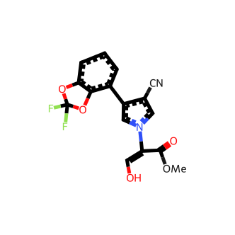 COC(=O)C(=CO)n1cc(C#N)c(-c2cccc3c2OC(F)(F)O3)c1